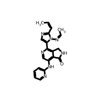 C/C=C\c1ncc(-c2ncc(Nc3ccccn3)c3c2CNC3=O)n1/N=C\C